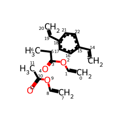 C=COC(=O)CC.C=COC(C)=O.C=Cc1ccc(C=C)cc1